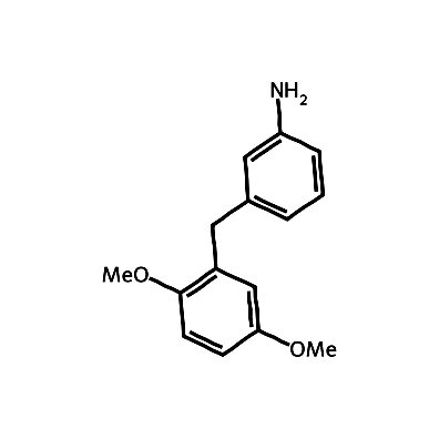 COc1ccc(OC)c(Cc2cccc(N)c2)c1